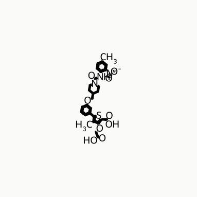 Cc1ccc(NC(=O)N2CCC(COc3cccc(-c4sc(C(=O)O)c(OCC(=O)O)c4C)c3)CC2)c([N+](=O)[O-])c1